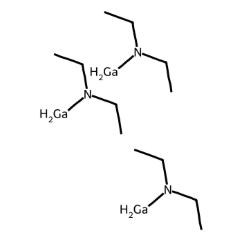 CC[N]([GaH2])CC.CC[N]([GaH2])CC.CC[N]([GaH2])CC